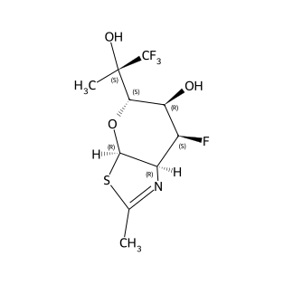 CC1=N[C@@H]2[C@H](F)[C@H](O)[C@@H]([C@](C)(O)C(F)(F)F)O[C@@H]2S1